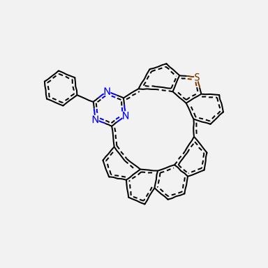 c1ccc(-c2nc3nc(n2)c2ccc4sc5cccc(c6ccc7ccc8ccc9ccc3cc9c8c7c6)c5c4c2)cc1